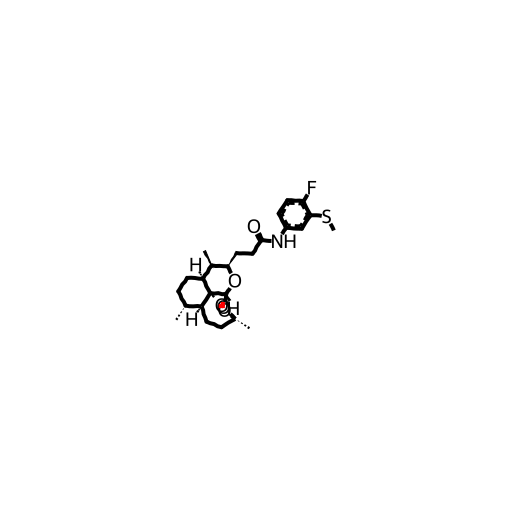 CSc1cc(NC(=O)CC[C@H]2O[C@@H]3O[C@]4(C)CC[C@H]5[C@H](C)CC[C@@H]([C@H]2C)[C@@]35OO4)ccc1F